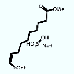 CCCCCCCC/C=C\CCCCCCCC(=O)OC.O=S(=O)(O)O.[NaH]